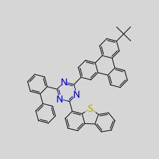 CC(C)(C)c1ccc2c3ccc(-c4nc(-c5ccccc5-c5ccccc5)nc(-c5cccc6c5sc5ccccc56)n4)cc3c3ccccc3c2c1